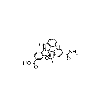 CC(=O)c1cc(C(N)=O)ccc1C1(c2c(Cl)cccc2Cl)Nc2ccc(C(=O)O)cc2N1